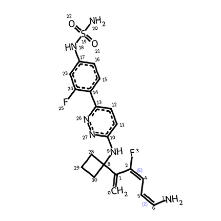 C=C(/C(F)=C\C=C/N)C1(Nc2ccc(-c3ccc(NS(N)(=O)=O)cc3F)nn2)CCC1